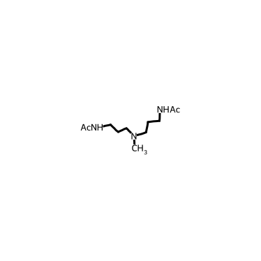 CC(=O)NCCCN(C)CCCNC(C)=O